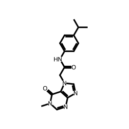 CC(C)c1ccc(NC(=O)Cn2cnc3ncn(C)c(=O)c32)cc1